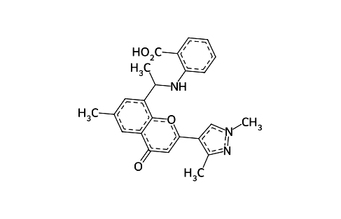 Cc1cc(C(C)Nc2ccccc2C(=O)O)c2oc(-c3cn(C)nc3C)cc(=O)c2c1